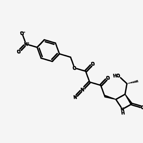 C[C@@H](O)[C@H]1C(=O)N[C@H]1CC(=O)C(=[N+]=[N-])C(=O)OCc1ccc([N+](=O)[O-])cc1